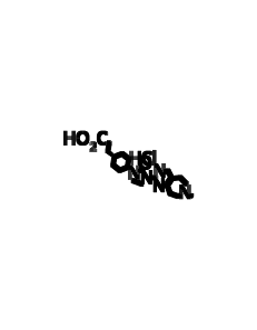 CN1CCc2cnc(N3CCN([C@H]4CC[C@H](CCC(=O)O)CC4)C3=O)nc2CC1.Cl